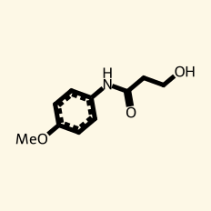 COc1ccc(NC(=O)CCO)cc1